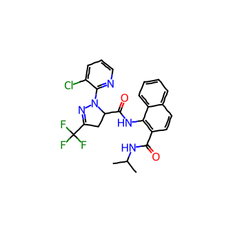 CC(C)NC(=O)c1ccc2ccccc2c1NC(=O)C1CC(C(F)(F)F)=NN1c1ncccc1Cl